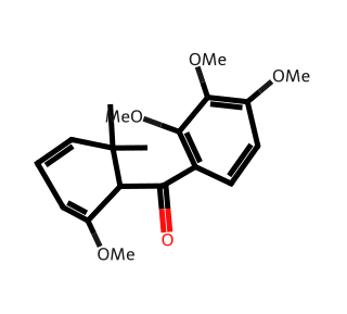 COC1=CC=CC(C)(C)C1C(=O)c1ccc(OC)c(OC)c1OC